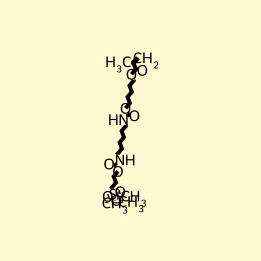 C=C(C)C(=O)OCCCCCOC(=O)NCCCCCCNC(=O)OCCC[Si](OC)(OC)OC